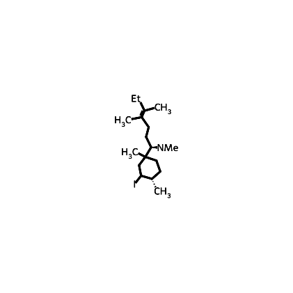 CC/C(C)=C(\C)CC[C@@H](NC)C1(C)CC[C@H](C)C(I)C1